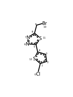 Clc1ccc(-c2nnc(CBr)s2)s1